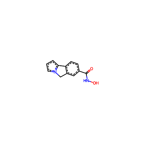 O=C(NO)c1ccc2c(c1)Cn1cccc1-2